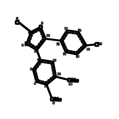 COc1ccc(-c2nc(Cl)oc2-c2ccc(Cl)cc2)cc1OC